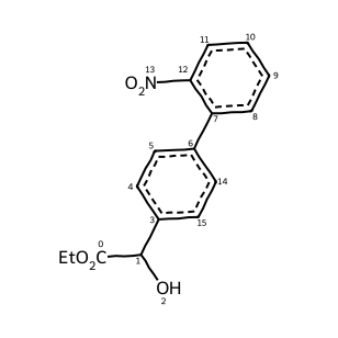 CCOC(=O)C(O)c1ccc(-c2ccccc2[N+](=O)[O-])cc1